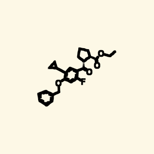 CCOC(=O)[C@@H]1CCC[C@H]1C(=O)c1cc(C2CC2)c(OCc2ccccc2)cc1F